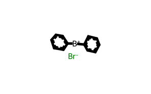 [B+](c1ccccc1)c1ccccc1.[Br-]